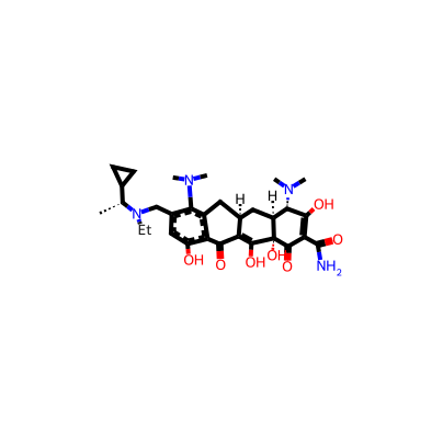 CCN(Cc1cc(O)c2c(c1N(C)C)C[C@H]1C[C@H]3[C@H](N(C)C)C(O)=C(C(N)=O)C(=O)[C@@]3(O)C(O)=C1C2=O)[C@H](C)C1CC1